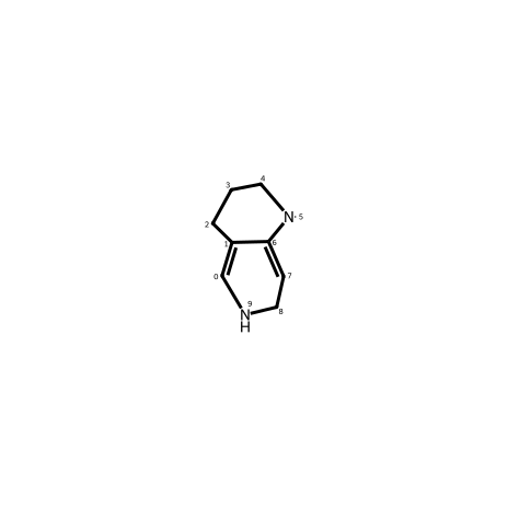 C1=C2CCC[N]C2=CCN1